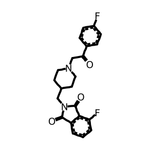 O=C(CN1CCC(CN2C(=O)c3cccc(F)c3C2=O)CC1)c1ccc(F)cc1